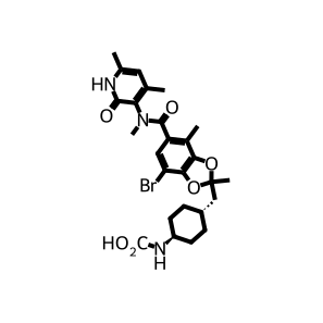 Cc1cc(C)c(N(C)C(=O)c2cc(Br)c3c(c2C)OC(C)(C[C@H]2CC[C@H](NC(=O)O)CC2)O3)c(=O)[nH]1